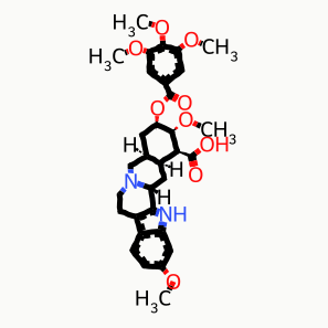 COc1ccc2c3c([nH]c2c1)[C@H]1C[C@H]2[C@H](C[C@@H](OC(=O)c4cc(OC)c(OC)c(OC)c4)[C@H](OC)[C@H]2C(=O)O)CN1CC3